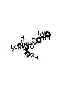 COc1cncc(-c2cc(NC(=O)NCc3ccc(C(=O)Nc4ccccc4N)cc3)nc(-n3nc(C)cc3C)n2)c1